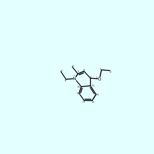 CCOC1C=C(C)N(CC)c2ccccc21